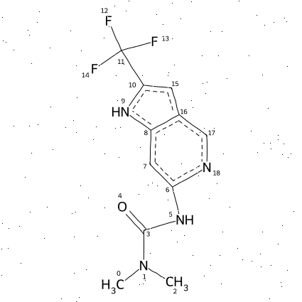 CN(C)C(=O)Nc1cc2[nH]c(C(F)(F)F)cc2cn1